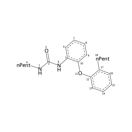 CCCCCNC(=O)Nc1ccccc1Oc1ccccc1CCCCC